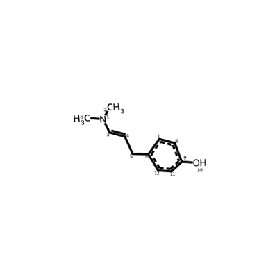 CN(C)C=CCc1ccc(O)cc1